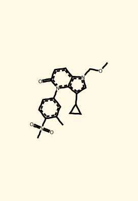 COCn1cc(C2CC2)c2c1ccc(=O)n2-c1ccc(S(C)(=O)=O)c(C)c1